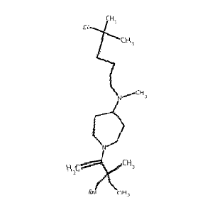 C=C(N1CCC(N(C)CCCC(C)(C)CC)CC1)C(C)(C)C(C)CC